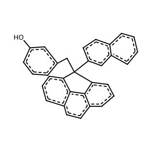 Oc1cccc(CC2(c3ccc4ccccc4c3)c3cccc4ccc5cccc2c5c34)c1